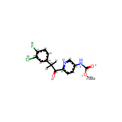 CC(C)(C)OC(=O)Nc1ccc(C(=O)C(C)(C)c2ccc(F)c(Cl)c2)nc1